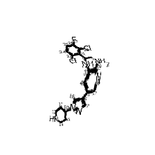 CC(Nc1cc(-c2cnn(C3CCNCC3)c2)cnc1N)c1c(Cl)ccc(F)c1Cl